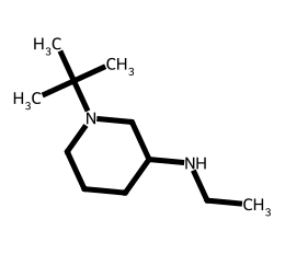 CCNC1CCCN(C(C)(C)C)C1